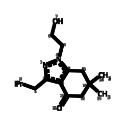 CC(C)Cc1nn(CCO)c2c1C(=O)CC(C)(C)C2